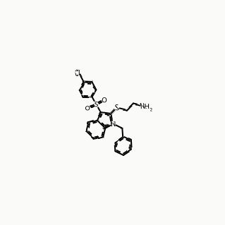 NCCSc1c(S(=O)(=O)c2ccc(Cl)cc2)c2ccccc2n1Cc1ccccc1